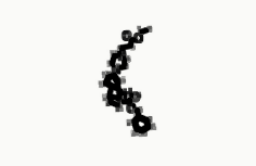 CCOC(=O)CCN1CCN(c2ccc3c(c2)[C@H]2CC3CCN2C(=O)OCc2ccccc2)CC1